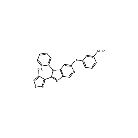 CC(=O)Nc1cccc(Oc2cc3c(cn2)nc(-c2nonc2N)n3-c2ccccc2)c1